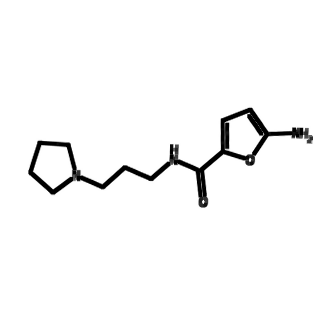 Nc1ccc(C(=O)NCCCN2CCCC2)o1